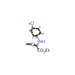 C=C=C(Nc1ccc(Cl)cc1)C(=O)OCC